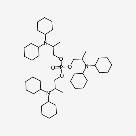 CC(COP(=O)(OCC(C)N(C1CCCCC1)C1CCCCC1)OCC(C)N(C1CCCCC1)C1CCCCC1)N(C1CCCCC1)C1CCCCC1